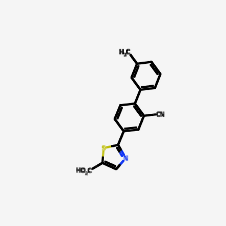 Cc1cccc(-c2ccc(-c3ncc(C(=O)O)s3)cc2C#N)c1